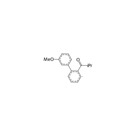 COc1cccc(-c2ccc[c]c2C(=O)C(C)C)c1